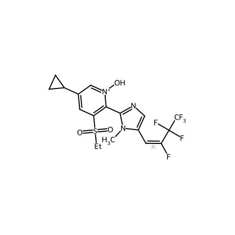 CCS(=O)(=O)c1cc(C2CC2)c[n+](O)c1-c1ncc(/C=C(/F)C(F)(F)C(F)(F)F)n1C